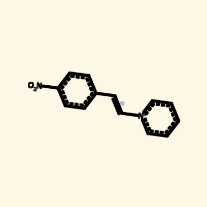 O=[N+]([O-])c1ccc(/C=C/[n+]2ccccc2)cc1